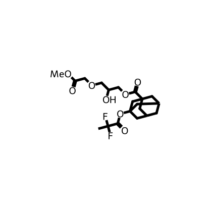 COC(=O)COCC(O)COC(=O)C12CC3CC(CC(OC(=O)C(C)(F)F)(C3)C1)C2